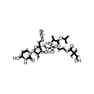 CC(C)OC(=O)C(C)NP(=O)(OCCSC(=O)C(C)(C)CO)OC[C@@]1(CN=[N+]=[N-])O[C@@H](N2C=CC(O)NC2=O)[C@H](F)[C@@H]1O